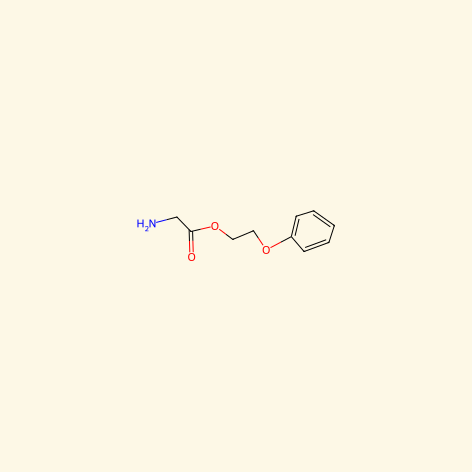 NCC(=O)OCCOc1ccccc1